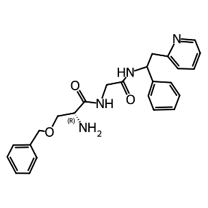 N[C@H](COCc1ccccc1)C(=O)NCC(=O)NC(Cc1ccccn1)c1ccccc1